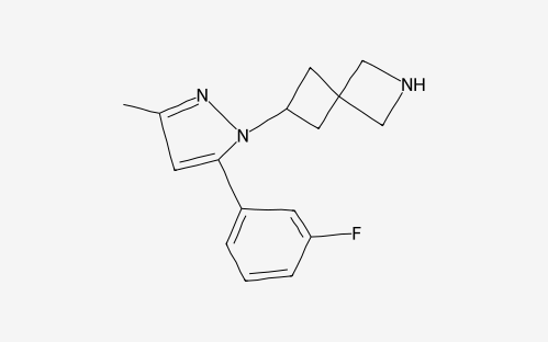 Cc1cc(-c2cccc(F)c2)n(C2CC3(CNC3)C2)n1